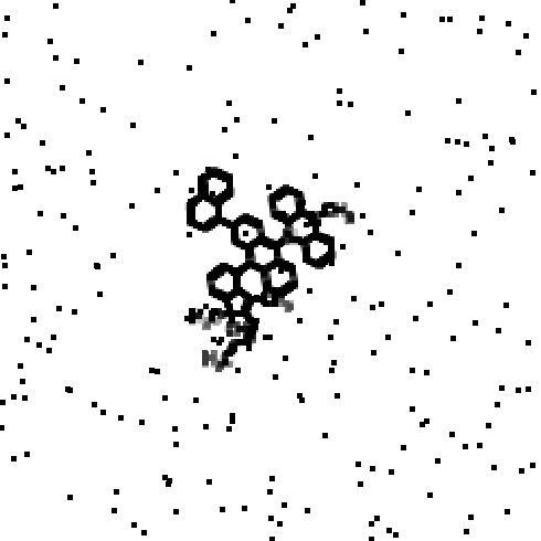 C=C/C=C\C1=C(C)c2c(-c3c4ccccc4c(N4c5ccccc5N(C)c5ccccc54)c4ccc(-c5cccc6ccccc56)cc34)cccc2C1(C)C